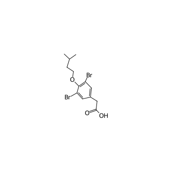 CC(C)CCOc1c(Br)cc(CC(=O)O)cc1Br